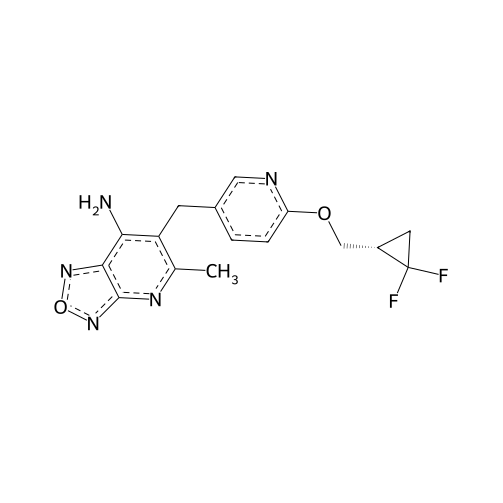 Cc1nc2nonc2c(N)c1Cc1ccc(OC[C@@H]2CC2(F)F)nc1